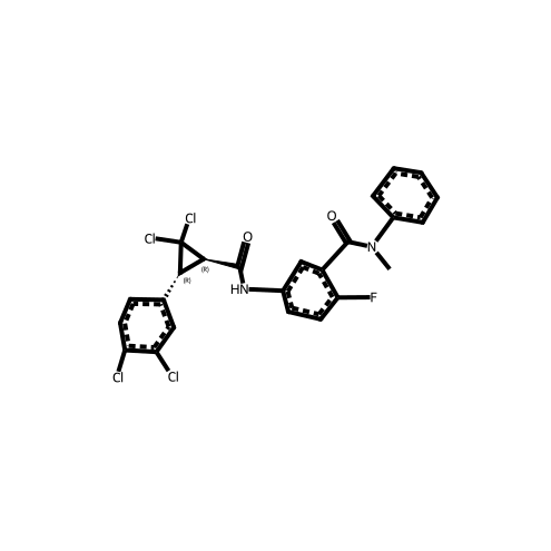 CN(C(=O)c1cc(NC(=O)[C@H]2[C@H](c3ccc(Cl)c(Cl)c3)C2(Cl)Cl)ccc1F)c1ccccc1